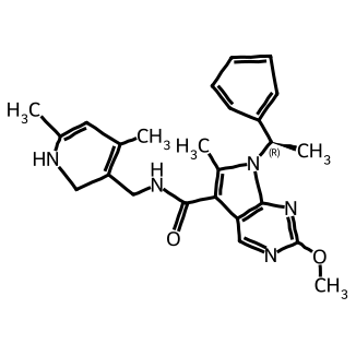 COc1ncc2c(C(=O)NCC3=C(C)C=C(C)NC3)c(C)n([C@H](C)c3ccccc3)c2n1